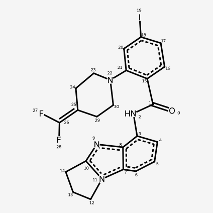 O=C(Nc1cccc2c1nc1n2CCC1)c1ccc(I)cc1N1CCC(=C(F)F)CC1